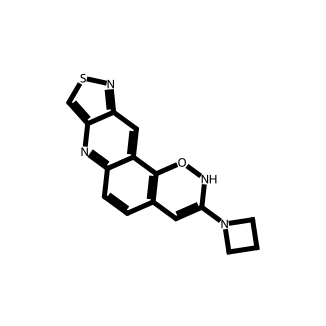 C1=C(N2CCC2)NOc2c1ccc1nc3csnc3cc21